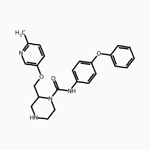 Cc1ccc(OCC2CNCCN2C(=O)Nc2ccc(Oc3ccccc3)cc2)cn1